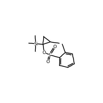 Cc1ccccc1S(=O)(=O)OC1([Si](C)(C)C)CC1C